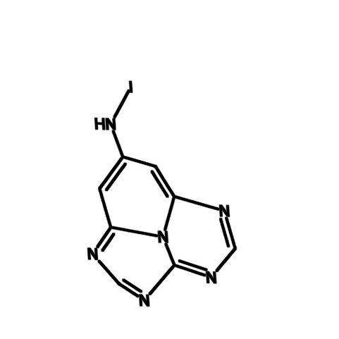 INC1=CC2=NC=NC3=NC=NC(=C1)N23